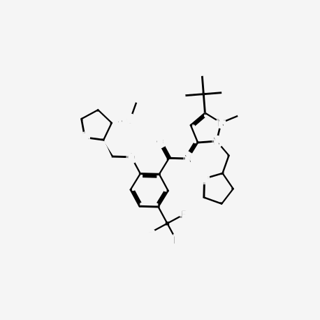 CO[C@H]1CCO[C@@H]1COc1ccc(C(F)(F)F)cc1C(=O)N=c1cc(C(C)(C)C)n(C)n1CC1CCCO1